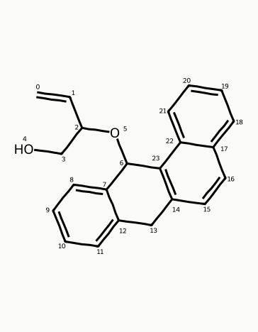 C=CC(CO)OC1c2ccccc2Cc2ccc3ccccc3c21